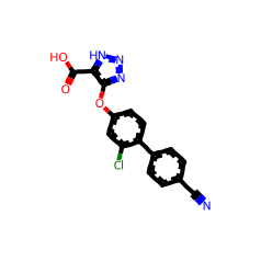 N#Cc1ccc(-c2ccc(Oc3nn[nH]c3C(=O)O)cc2Cl)cc1